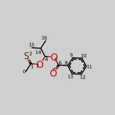 CC(=S)O[C@H](OC(=O)c1ccccc1)C(C)C